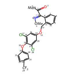 CNC(=O)/C(=N/OC)c1ccccc1COc1cc(Cl)c(Oc2ccc(C(F)(F)F)cc2)c(Cl)c1